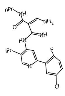 CCCNC(=O)/C(=C/N)C(=N)Nc1cc(-c2cc(Cl)ccc2F)ncc1C(C)C